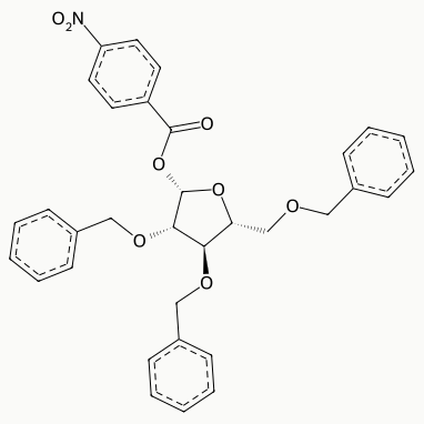 O=C(O[C@@H]1O[C@H](COCc2ccccc2)[C@@H](OCc2ccccc2)[C@@H]1OCc1ccccc1)c1ccc([N+](=O)[O-])cc1